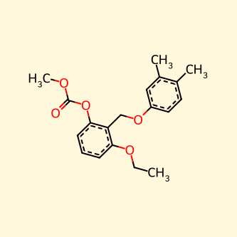 CCOc1cccc(OC(=O)OC)c1COc1ccc(C)c(C)c1